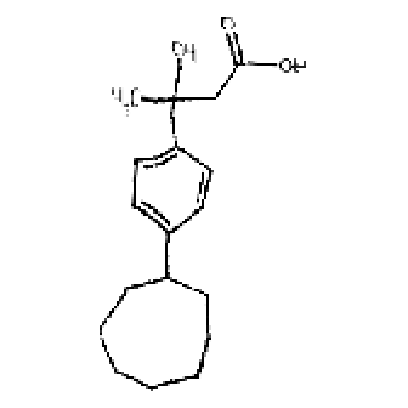 CC(O)(CC(=O)O)c1ccc(C2CCCCCCC2)cc1